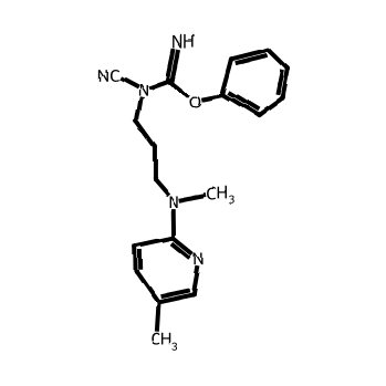 Cc1ccc(N(C)CCCN(C#N)C(=N)Oc2ccccc2)nc1